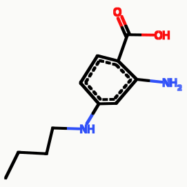 CCCCNc1ccc(C(=O)O)c(N)c1